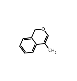 [CH2]C1=COCc2ccccc21